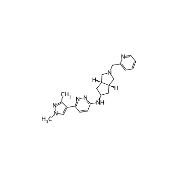 Cc1nn(C)cc1-c1ccc(N[C@H]2C[C@@H]3CN(Cc4ccccn4)C[C@@H]3C2)nn1